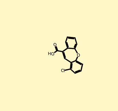 O=C(O)C1=Cc2c(Cl)cccc2Oc2ccccc21